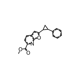 COC(=O)c1ccc2cc(C3CC3c3ccccc3)oc2n1